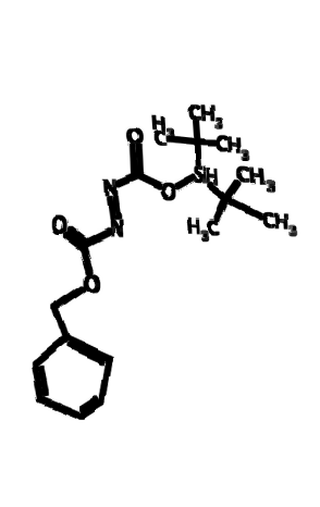 CC(C)(C)[SiH](OC(=O)N=NC(=O)OCc1ccccc1)C(C)(C)C